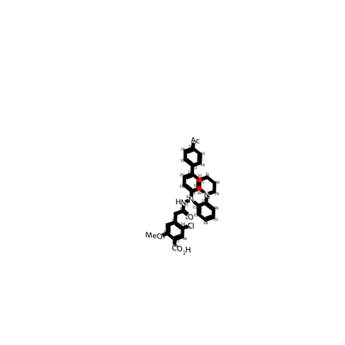 COc1cc(CC(=O)NN(c2ccc(-c3ccc(C(C)=O)cc3)cc2)c2ccccc2N2CCCCC2)c(Cl)cc1C(=O)O